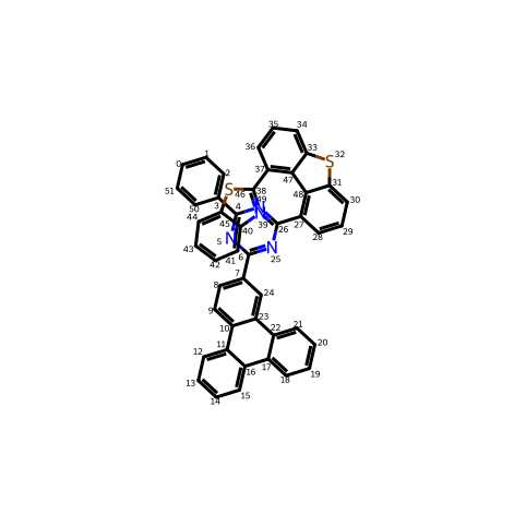 c1ccc(-c2nc(-c3ccc4c5ccccc5c5ccccc5c4c3)nc(-c3cccc4sc5cccc(-c6nc7ccccc7s6)c5c34)n2)cc1